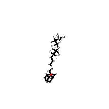 O=S(=O)(O)C(F)(F)C(F)(F)OC(F)(F)C(F)(F)CCCOCC1CC2CC3CC(C2)C13